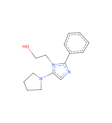 OCCn1c(N2CCCC2)cnc1-c1ccccc1